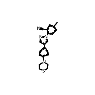 Cc1ccc(-n2cc(-c3ccc(N4CCSCC4)cc3)cn2)c(C#N)c1